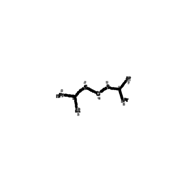 CCCC(CC)SOSC(CC)CCC